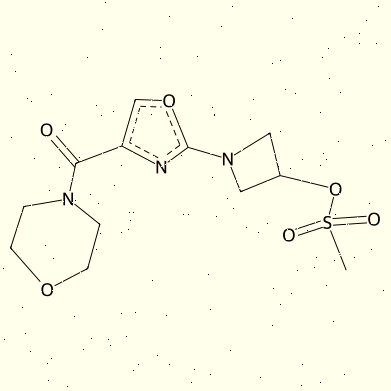 CS(=O)(=O)OC1CN(c2nc(C(=O)N3CCOCC3)co2)C1